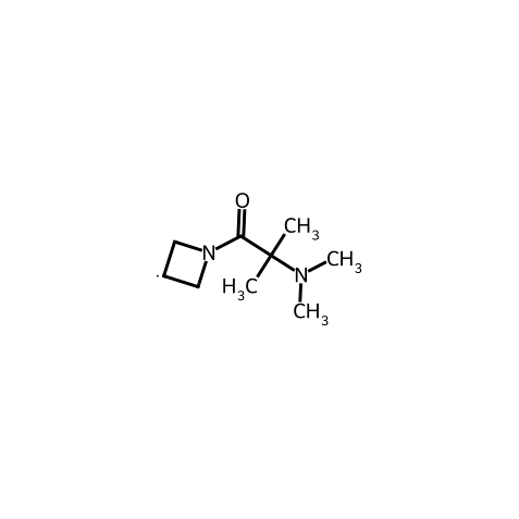 CN(C)C(C)(C)C(=O)N1C[CH]C1